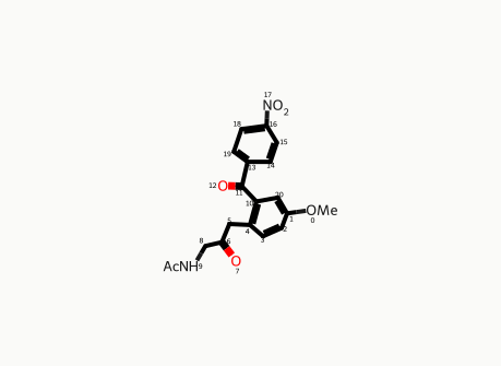 COc1ccc(CC(=O)CNC(C)=O)c(C(=O)c2ccc([N+](=O)[O-])cc2)c1